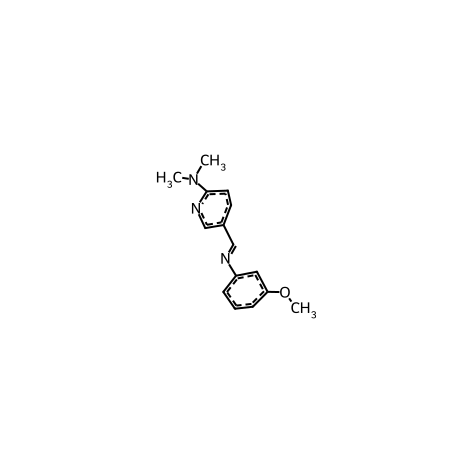 COc1cccc(N=Cc2ccc(N(C)C)nc2)c1